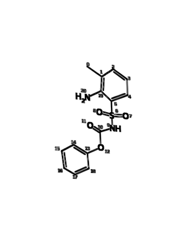 Cc1cccc(S(=O)(=O)NC(=O)Oc2ccccc2)c1N